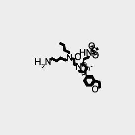 CCCCN(CCCCN)C(=O)CN1C[C@H](c2ccc3c(c2)CCO3)[C@@H](C)[C@@H]1CCNS(C)(=O)=O